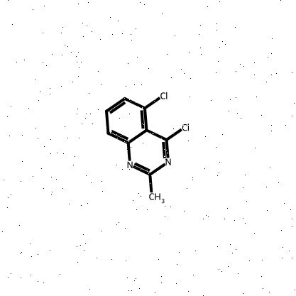 Cc1nc(Cl)c2c(Cl)cccc2n1